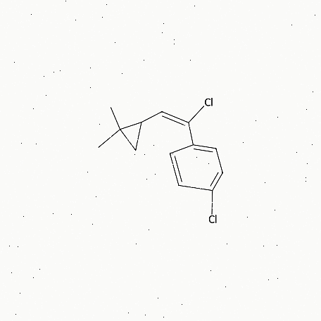 CC1(C)CC1/C=C(/Cl)c1ccc(Cl)cc1